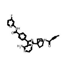 CC#CC(=O)NC12CCC(c3nc(-c4ccc(C(=O)Nc5cc(F)ccn5)cc4)c4c(N)nccn34)(CC1)C2